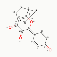 O=C1C=CC(=C2OC(C34CCCC5C3C54)=CC(=O)C2=O)C=C1